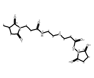 CC1CC(=O)N(CCC(=O)NCCOCCC(=O)ON2C(=O)CCC2=O)C1=O